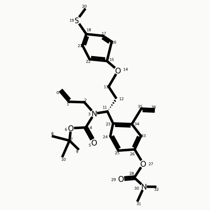 C=CCN(C(=O)OC(C)(C)C)[C@H](CCOc1ccc(SC)cc1)c1ccc(OC(=O)N(C)C)cc1C=C